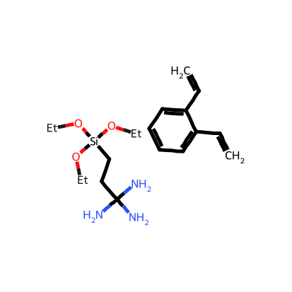 C=Cc1ccccc1C=C.CCO[Si](CCC(N)(N)N)(OCC)OCC